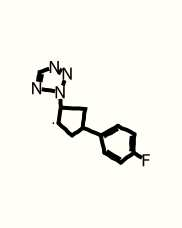 Fc1ccc(C2C[CH]C(n3ncnn3)C2)cc1